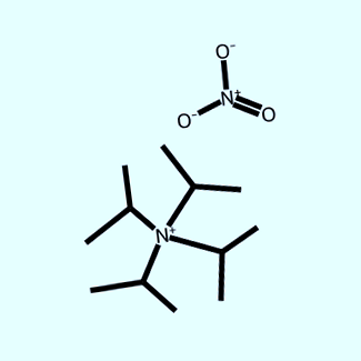 CC(C)[N+](C(C)C)(C(C)C)C(C)C.O=[N+]([O-])[O-]